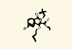 CCCCOc1c(C(=O)OCC)n(CC(C)(C)C)c(=O)c2ccc(Br)cc12